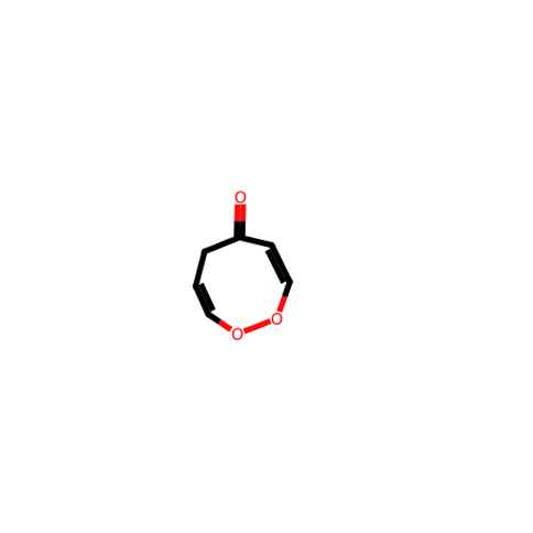 O=C1/C=C\OO/C=C\C1